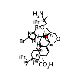 CC(C)[C@@H](C)[C@@]1(C)CC[C@]2(C)[C@H]3CC[C@@H]4[C@@]5(COC[C@@]4(C)[C@@H](OC[C@](C)(N)C(C)C)[C@H](n4nc(Br)nc4Br)C5)C3=CC[C@@]2(C)[C@@H]1C(=O)O